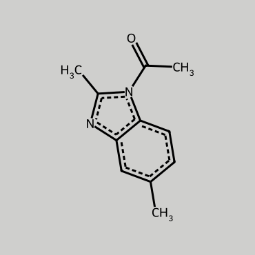 CC(=O)n1c(C)nc2cc(C)ccc21